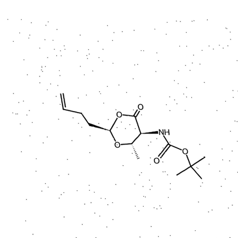 C=CCC[C@H]1OC(=O)[C@@H](NC(=O)OC(C)(C)C)[C@H](C)O1